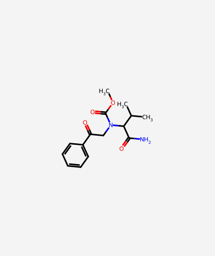 COC(=O)N(CC(=O)c1ccccc1)C(C(N)=O)C(C)C